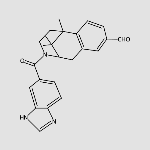 CC12CCN(C(=O)c3ccc4nc[nH]c4c3)C(Cc3cc(C=O)ccc31)C2(C)C